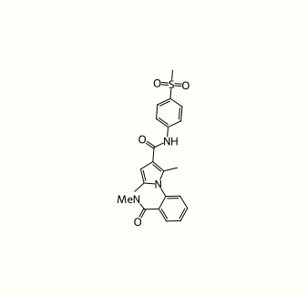 CNC(=O)c1ccccc1-n1c(C)cc(C(=O)Nc2ccc(S(C)(=O)=O)cc2)c1C